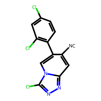 [C-]#[N+]c1cc2nnc(Cl)n2cc1-c1ccc(Cl)cc1Cl